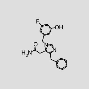 NC(=O)Cc1c(Cc2ccccc2)ncn1Cc1cc(O)cc(F)c1